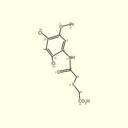 CC(C)Oc1cc(NC(=O)CSCC(=O)O)c(Cl)cc1Cl